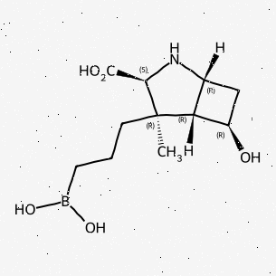 C[C@@]1(CCCB(O)O)[C@H]2[C@H](O)C[C@H]2N[C@@H]1C(=O)O